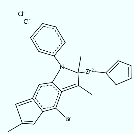 CC1=Cc2c(Br)c3c(cc2=C1)N(c1ccccc1)[C](C)([Zr+2][C]1=CC=CC1)C=3C.[Cl-].[Cl-]